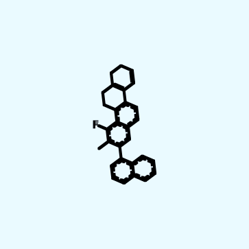 Cc1c(-c2cccc3ccccc23)cc2ccc3c(c2c1F)CCC1=C3C=CCC1